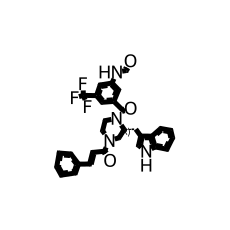 O=CNc1cc(C(=O)N2CCN(C(=O)C=Cc3ccccc3)C[C@H]2Cc2c[nH]c3ccccc23)cc(C(F)(F)F)c1